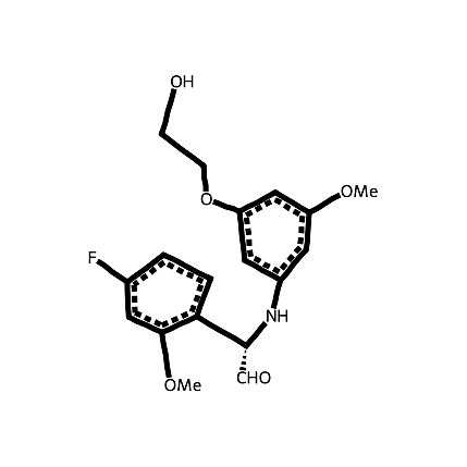 COc1cc(N[C@H](C=O)c2ccc(F)cc2OC)cc(OCCO)c1